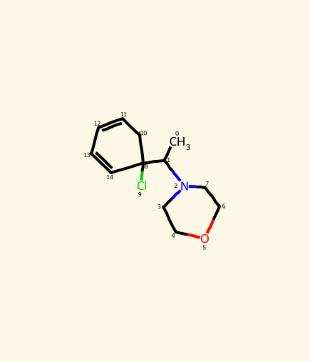 CC(N1CCOCC1)C1(Cl)[CH]C=CC=C1